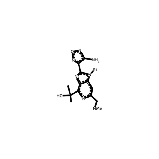 CCn1c(-c2nonc2N)nc2c(C(C)(C)O)nc(CNC)cc21